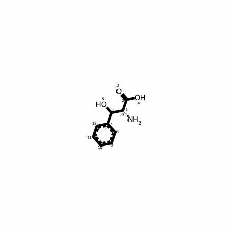 N[C@@H](C(=O)O)C(O)c1ccccc1